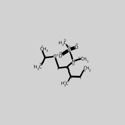 CCC(C)C(COC(C)C)N(C)S(C)(=O)=O